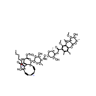 COC(=O)NC1=C2/C(=C\CSSSC)[C@](O)(C#C/C=C\C#C[C@@H]2O[C@@H]2O[C@H](C)[C@@H](NO[C@H]3C[C@H](O)[C@H](SC(=O)c4c(C)c(I)c(O[C@@H]5O[C@@H](C)[C@H](O)[C@@H](OC)[C@H]5O)c(OC)c4OC)[C@@H](C)O3)[C@H](O)[C@H]2O)CC1=O